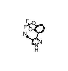 N#Cc1c[nH]nc1-c1cccc2c1OC(F)(F)O2